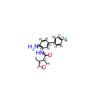 CC1COCC1C(=O)Nc1cc(-c2ccc(F)cc2)ccc1N